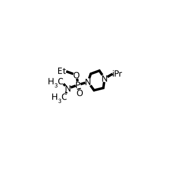 CCOP(=O)(N(C)C)N1CCN(C(C)C)CC1